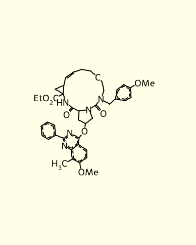 CCOC(=O)C12CC1C=CCCCCCN(Cc1ccc(OC)cc1)C(=O)N1CC(Oc3nc(-c4ccccc4)nc4c(C)c(OC)ccc34)CC1C(=O)N2